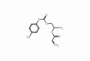 C=CC(=O)OC(C)COC(=O)Oc1ccc(C(C)=O)cc1